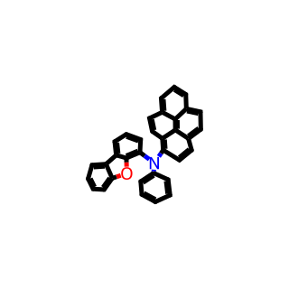 c1ccc(N(c2ccc3ccc4cccc5ccc2c3c45)c2cccc3c2oc2ccccc23)cc1